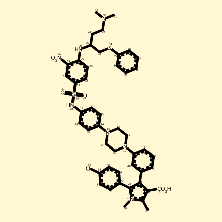 Cc1c(C(=O)O)c(-c2cccc(N3CCN(c4ccc(NS(=O)(=O)c5ccc(NC(CCN(C)C)CSc6ccccc6)c([N+](=O)[O-])c5)cc4)CC3)c2)c(-c2ccc(Cl)cc2)n1C